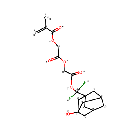 C=C(C)C(=O)OCC(=O)OCC(=O)OC(F)(F)C12CC3CC(CC(O)(C3)C1)C2